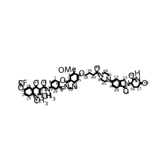 COc1cc2c(Oc3ccc(NC(=O)c4c(C)n(C)c5ccc(OC(F)(F)F)cc5c4=O)cc3F)ncnc2cc1OCCCC(=O)N1CCN(c2ccc3c(c2)CN(C2CCC(=O)NC2=O)C3=O)CC1